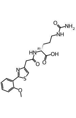 COc1ccccc1-c1nc(CC(=O)N[C@H](CCCNC(N)=O)C(=O)O)cs1